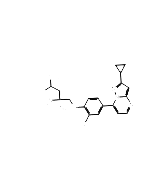 CC(C)C[C@](C)(N)COc1ccc(-c2ccnc3cc(C4CC4)nn23)cc1Cl